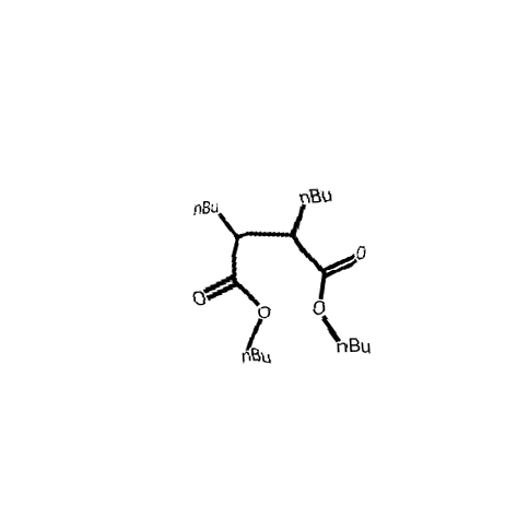 CCCCOC(=O)C(CCCC)C(CCCC)C(=O)OCCCC